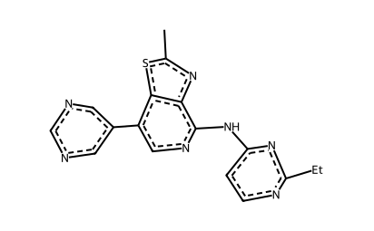 CCc1nccc(Nc2ncc(-c3cncnc3)c3sc(C)nc23)n1